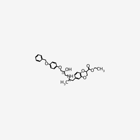 CCOC(=O)C1COc2cc(C[C@@H](C)NC[C@H](O)COc3ccc(OCc4ccccc4)cc3)ccc2O1